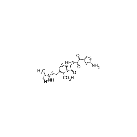 CN1C=NNN1SCC1=C(C(=O)O)N2C(=O)C(NC(=O)C(=O)c3csc(N)n3)[C@@H]2SC1